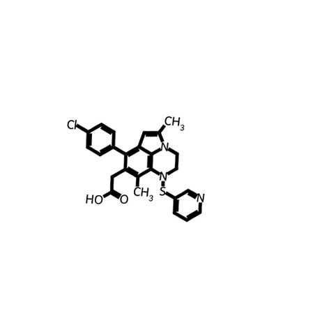 Cc1c(CC(=O)O)c(-c2ccc(Cl)cc2)c2cc(C)n3c2c1N(Sc1cccnc1)CC3